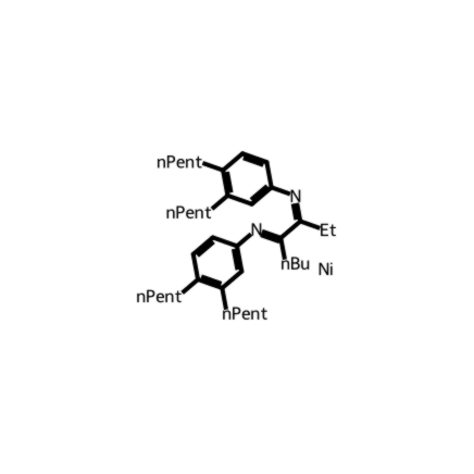 CCCCCc1ccc(N=C(CC)C(CCCC)=Nc2ccc(CCCCC)c(CCCCC)c2)cc1CCCCC.[Ni]